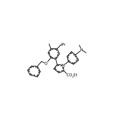 CCOC(=O)c1ccc(-c2cc(C(C)C)c(C)cc2OCc2ccccc2)n1-c1ccc(N(C)C)cc1